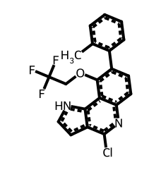 Cc1ccccc1-c1ccc2nc(Cl)c3cc[nH]c3c2c1OCC(F)(F)F